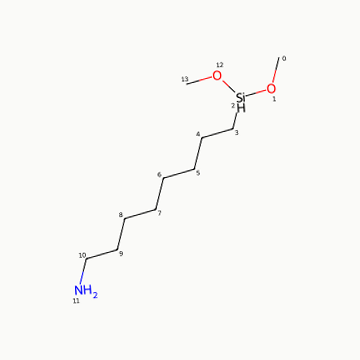 CO[SiH](CCCCCCCCN)OC